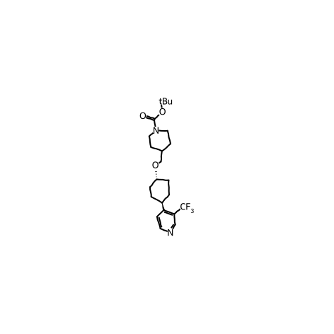 CC(C)(C)OC(=O)N1CCC(CO[C@H]2CC[C@H](c3ccncc3C(F)(F)F)CC2)CC1